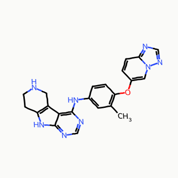 Cc1cc(Nc2ncnc3[nH]c4c(c23)CNCC4)ccc1Oc1ccc2ncnn2c1